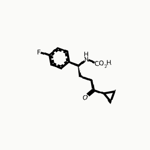 O=C(O)N[C@@H](CCC(=O)C1CC1)c1ccc(F)cc1